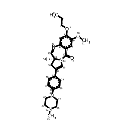 CCCOc1cc2c(cc1OC)C(=O)N1C=C(c3ccc(N4CCN(C)CC4)cc3)C[C@H]1C=N2